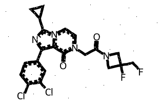 O=C(Cn1ccn2c(C3CC3)nc(-c3ccc(Cl)c(Cl)c3)c2c1=O)N1CC(F)(CF)C1